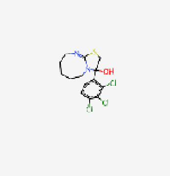 OC1(c2ccc(Cl)c(Cl)c2Cl)CSC2=NCCCCCN21